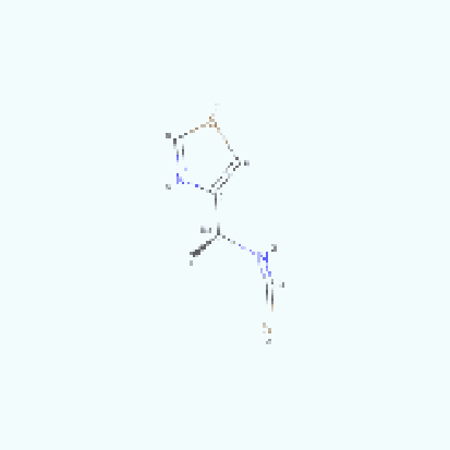 C[C@H](N=C=S)c1cscn1